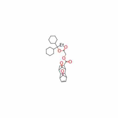 CCC(OC(=O)COC(=O)C1CC2C(=O)C1C1C3C=CC(C3=O)C21)(C1CCCCC1)C1CCCCC1